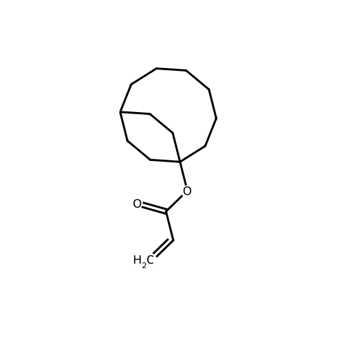 C=CC(=O)OC12CCCCCCC(CC1)CC2